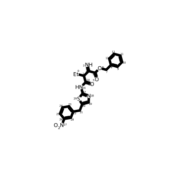 CCC(C(=N)C(=O)OCc1ccccc1)C(=O)Nc1ncc(Cc2cccc([N+](=O)[O-])c2)s1